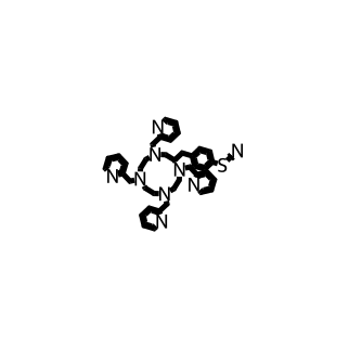 N#CSc1ccc(CC2CN(Cc3ccccn3)CCN(Cc3ccccn3)CCN(Cc3ccccn3)CCN2Cc2ccccn2)cc1